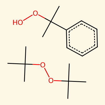 CC(C)(C)OOC(C)(C)C.CC(C)(OO)c1ccccc1